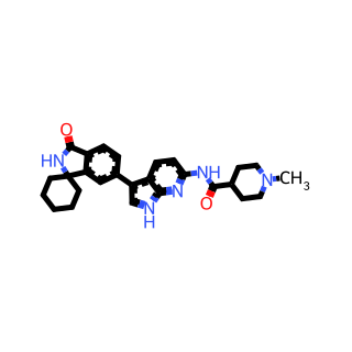 CN1CCC(C(=O)Nc2ccc3c(-c4ccc5c(c4)C4(CCCCC4)NC5=O)c[nH]c3n2)CC1